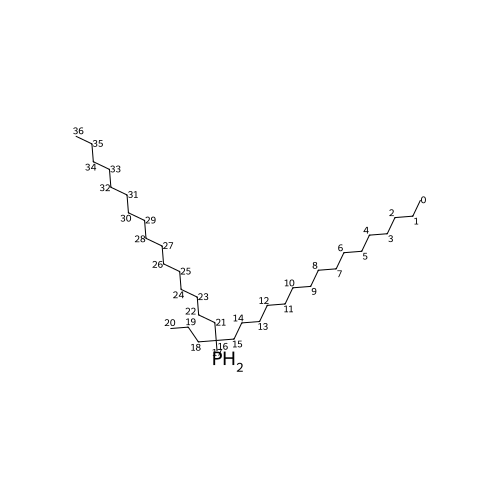 CCCCCCCCCCCCCCCCC(P)(CCC)CCCCCCCCCCCCCCCC